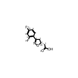 O=C(O)C[C@H]1CC(c2ccc(F)cc2F)=NO1